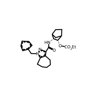 CCOC(=O)O[C@H]1C2CCC(C2)[C@H]1NC(=O)c1nn(Cc2ccccc2)c2c1CCCCC2